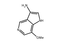 COc1cncc2c(N)c[nH]c12